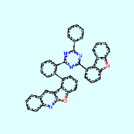 c1ccc(-c2nc(-c3ccccc3-c3cccc4oc5nc6ccccc6cc5c34)nc(-c3cccc4oc5ccccc5c34)n2)cc1